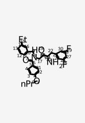 CCCOc1ccc(C(=O)N(Cc2cccc(CC)c2)C[C@@H](O)[C@@H](N)Cc2cc(F)cc(F)c2)cc1